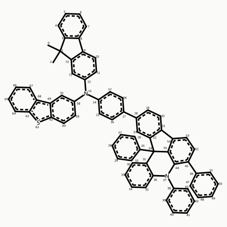 CC1(C)c2ccccc2-c2ccc(N(c3ccc(-c4ccc5c(c4)C4(c6ccccc6)c6ccccc6N(c6ccccc6)c6c(-c7ccccc7)ccc-5c64)cc3)c3ccc4sc5ccccc5c4c3)cc21